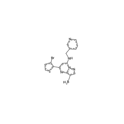 Bc1cnn2c(NCc3cccnc3)cc(-c3sccc3Br)nc12